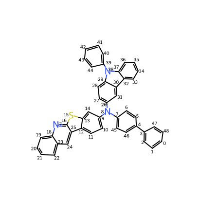 c1ccc(-c2ccc(N(c3ccc4c(c3)sc3nc5ccccc5cc34)c3ccc4c(c3)c3ccccc3n4-c3ccccc3)cc2)cc1